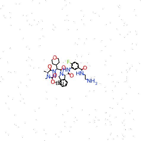 C[C@@H](C(=O)NC(C(=O)N1Cc2ccccc2[C@H]1C(=O)Nc1cc(C(=O)NCCN)ccc1F)C1CCOCC1)N(C)C(=O)OC(C)(C)C